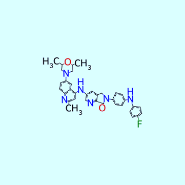 Cc1cc(Nc2cnc3c(c2)CN(c2ccc(Nc4ccc(F)cc4)cc2)C3=O)c2cc(N3CC(C)OC(C)C3)ccc2n1